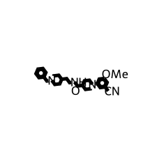 COc1cc(C#N)cc(N2CCC(C(=O)NCCC3CCN(Cc4ccccc4)CC3)CC2)c1